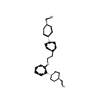 BrC[C@H]1CC[C@H](c2ccc(CCOc3ccccc3[C@H]3CC[C@H](CBr)CC3)cc2)CC1